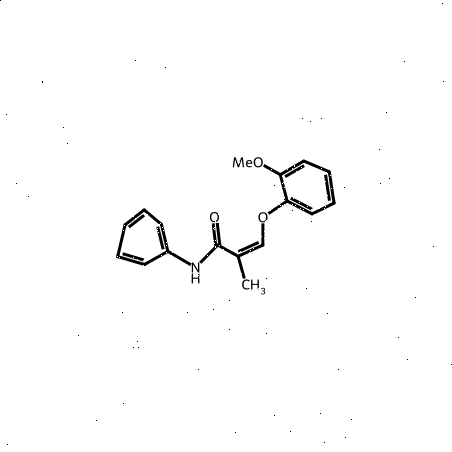 COc1ccccc1OC=C(C)C(=O)Nc1ccccc1